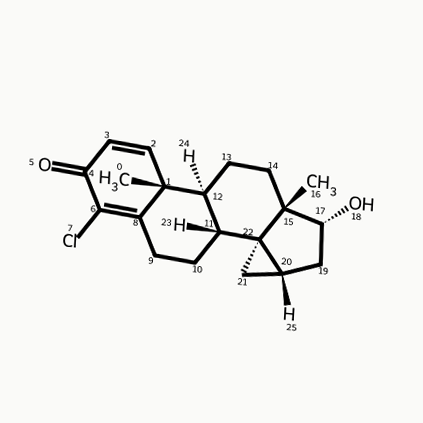 C[C@]12C=CC(=O)C(Cl)=C1CC[C@@H]1[C@@H]2CC[C@]2(C)[C@H](O)C[C@@H]3C[C@]312